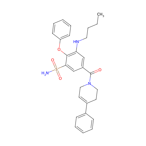 CCCCNc1cc(C(=O)N2CC=C(c3ccccc3)CC2)cc(S(N)(=O)=O)c1Oc1ccccc1